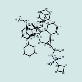 COc1ccc(C2CCCCC2)c2c1cc1n2CC2=C(C(=O)NS(=O)(=O)C3CCC3)C2=C2C=CC[C@@H](C(=O)N3C4CC3CN(Cc3ccccc3)C4)C21